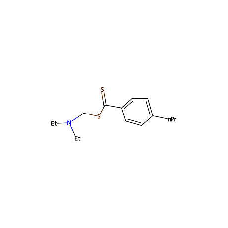 CCCc1ccc(C(=S)SCN(CC)CC)cc1